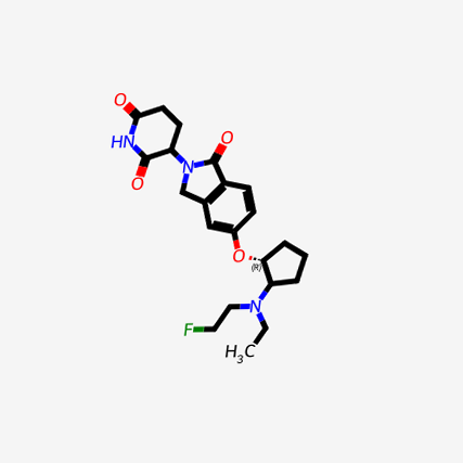 CCN(CCF)C1CCC[C@H]1Oc1ccc2c(c1)CN(C1CCC(=O)NC1=O)C2=O